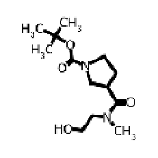 CN(CCO)C(=O)C1CCN(C(=O)OC(C)(C)C)C1